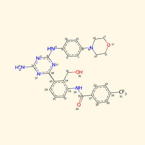 Nc1nc(Nc2ccc(N3CCOCC3)cc2)nc(-c2cccc(NC(=O)c3ccc(C(F)(F)F)cc3)c2CO)n1